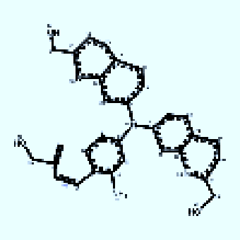 C=C(/C=C\c1ccc(N(c2ccc3ccc(CO)nc3c2)c2ccc3ccc(CO)nc3c2)cc1N)CO